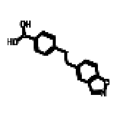 OB(O)c1ccc([CH]Cc2ccc3oncc3c2)cc1